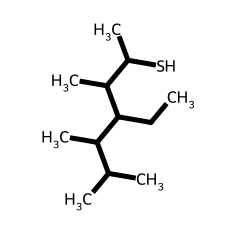 CCC(C(C)C(C)C)C(C)C(C)S